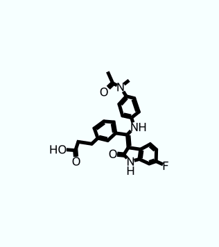 CC(=O)N(C)c1ccc(NC(=C2C(=O)Nc3cc(F)ccc32)c2cccc(CCC(=O)O)c2)cc1